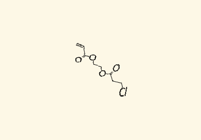 C=CC(=O)OCCOC(=O)CCCl